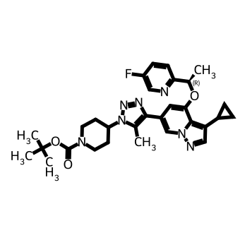 Cc1c(-c2cc(O[C@H](C)c3ccc(F)cn3)c3c(C4CC4)cnn3c2)nnn1C1CCN(C(=O)OC(C)(C)C)CC1